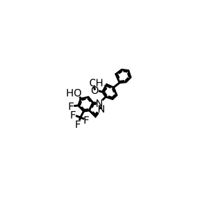 COc1cc(-c2ccccc2)ccc1-n1ncc2c(C(F)(F)F)c(F)c(O)cc21